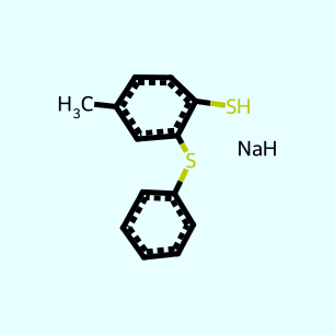 Cc1ccc(S)c(Sc2ccccc2)c1.[NaH]